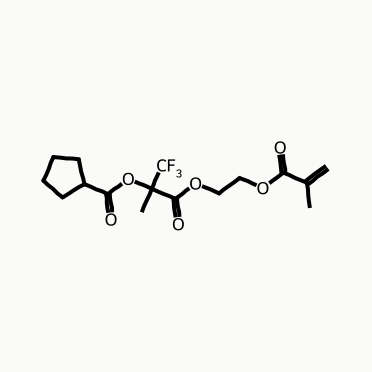 C=C(C)C(=O)OCCOC(=O)C(C)(OC(=O)C1CCCC1)C(F)(F)F